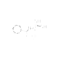 N=C(N)NN=C(C(=O)O)c1ccccc1